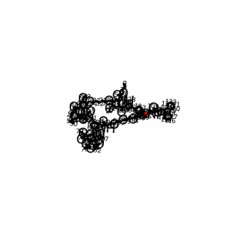 C=CCOC(=O)N1C[C@@H]2CC(c3ccc(OC)cc3)=CN2C(=O)c2cc(OC)c(OCCCCCOc3cc4c(cc3OC)C(=O)N3CCC5(CC5)C[C@H]3[C@H](OC)N4C(=O)OCc3ccc(O[C@@H]4O[C@H](C(=O)OC)[C@@H](OC(C)=O)[C@H](OC(C)=O)[C@H]4OC(C)=O)c(NC(=O)CCOCCOCCOCCOCCNC(=O)OCC4c5ccccc5-c5ccccc54)c3)cc21